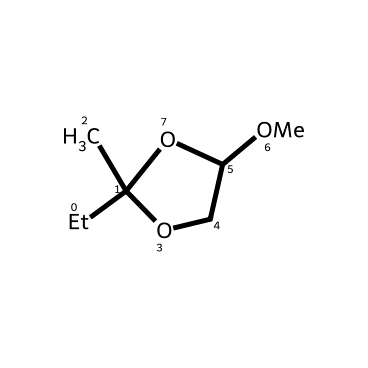 CCC1(C)OCC(OC)O1